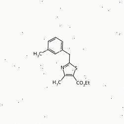 CCOC(=O)c1sc(Cc2cccc(C)c2)nc1C